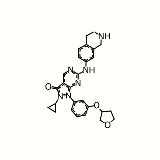 O=c1c2cnc(Nc3ccc4c(c3)CNCC4)nc2n(-c2cccc(OC3CCOC3)c2)n1C1CC1